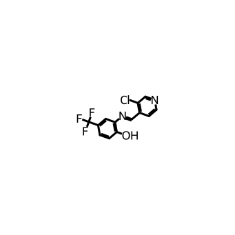 Oc1ccc(C(F)(F)F)cc1N=Cc1ccncc1Cl